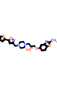 Cc1nc2cc(OC[C@H](O)CN3CCN(Cc4cc(-c5cccs5)on4)CC3)ccc2s1